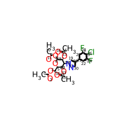 CC(=O)OCC1O[C@@H](OC(C)=O)C(OC(C)=O)C(n2cc(-c3cc(F)c(Cl)c(F)c3)cn2)[C@H]1OC(C)=O